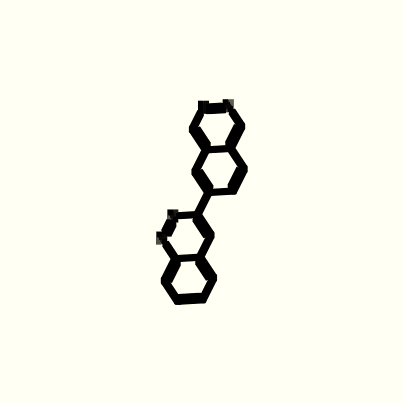 c1ccc2nnc(-c3ccc4cnncc4c3)cc2c1